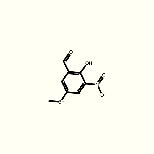 CBc1cc(C=O)c(O)c([N+](=O)[O-])c1